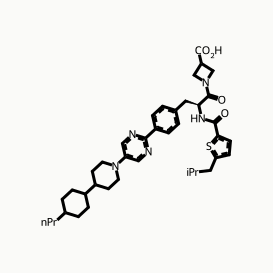 CCCC1CCC(C2CCN(c3cnc(-c4ccc(C[C@H](NC(=O)c5ccc(CC(C)C)s5)C(=O)N5CC(C(=O)O)C5)cc4)nc3)CC2)CC1